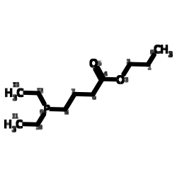 CCCOC(=O)CCCP(CC)CC